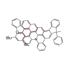 CC(C)(C)c1cc(-c2cccc3cccc(-c4ccccc4N(c4ccccc4-c4ccc5c(c4)C(C)(c4ccccc4)c4ccccc4-5)c4ccccc4-c4ccc5oc6ccccc6c5c4)c23)cc(C(C)(C)C)c1